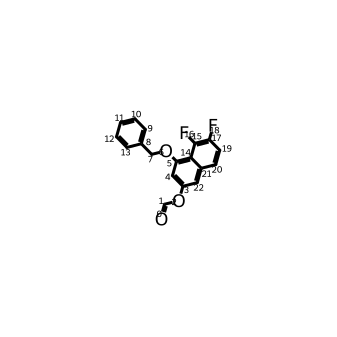 O=COc1cc(OCc2ccccc2)c2c(F)c(F)ccc2c1